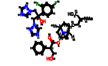 CN1[C@@H]2CC[C@H]1C[C@@H](OC(=O)C(CO)c1ccccc1)C2.CNC(CC(=O)O)C(=O)O.OC(Cn1cncn1)(Cn1cncn1)c1ccc(F)cc1F